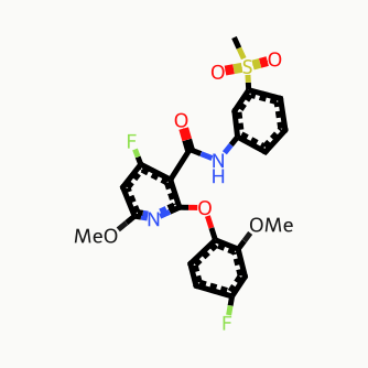 COc1cc(F)c(C(=O)Nc2cccc(S(C)(=O)=O)c2)c(Oc2ccc(F)cc2OC)n1